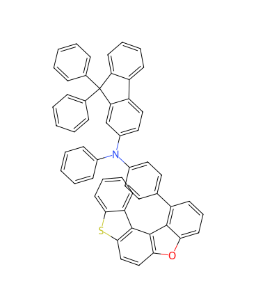 c1ccc(N(c2ccc(-c3cccc4oc5ccc6sc7ccccc7c6c5c34)cc2)c2ccc3c(c2)C(c2ccccc2)(c2ccccc2)c2ccccc2-3)cc1